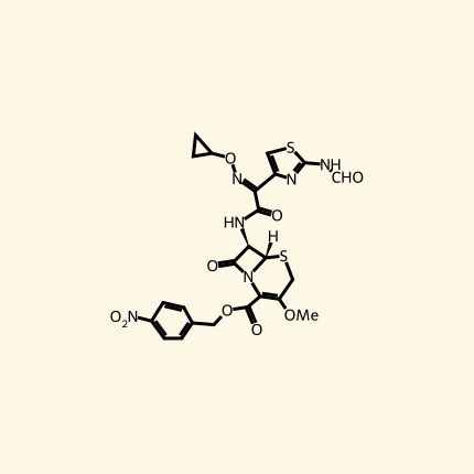 COC1=C(C(=O)OCc2ccc([N+](=O)[O-])cc2)N2C(=O)[C@@H](NC(=O)C(=NOC3CC3)c3csc(NC=O)n3)[C@@H]2SC1